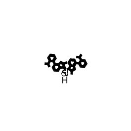 CC1=Cc2c(-c3ccccc3C(C)C)cccc2[CH]1[Zr]([CH]1C(C)=Cc2c(-c3ccccc3C(C)C)cccc21)[SiH](C)C